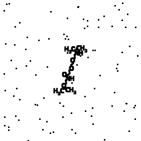 CC(C)NCCOCCOCCC(=O)NCCOC(C)C